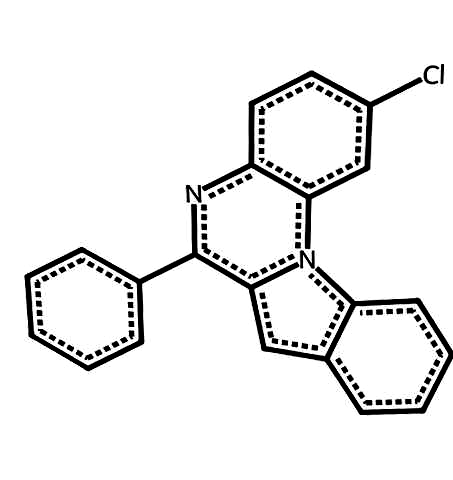 Clc1ccc2nc(-c3ccccc3)c3cc4ccccc4n3c2c1